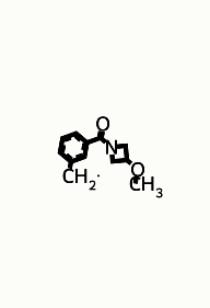 [CH2]c1cccc(C(=O)N2CC(OC)C2)c1